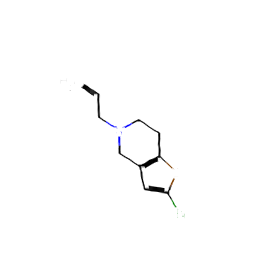 C=CCN1CCc2sc(Br)cc2C1